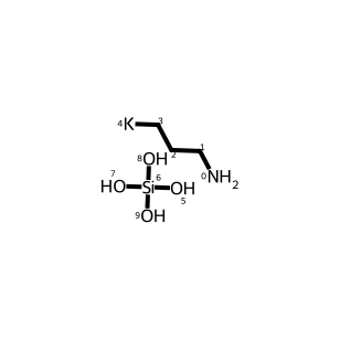 NCC[CH2][K].O[Si](O)(O)O